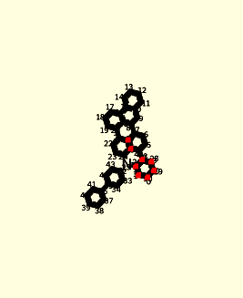 c1ccc(-c2ccc(-c3cc4ccccc4c4cccc(-c5ccc(N(c6ccccc6)c6ccc(-c7ccccc7)cc6)cc5)c34)cc2)cc1